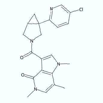 Cc1cn(C)c(=O)c2c(C(=O)N3CC4CC4(c4ccc(Cl)cn4)C3)cn(C)c12